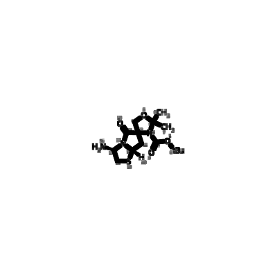 CC(C)(C)OC(=O)N1C(C)(C)OCC12C[C@@H]1SC[C@@H](N)N1C2=O